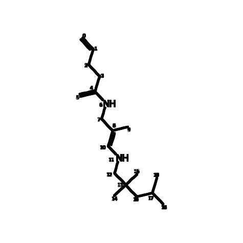 C=CCCC(=C)NC/C(C)=C/NCC(C)(C)CC(C)C